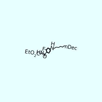 CCCCCCCCCCCCCCCCNc1ccc(C(=O)NCC(=O)OCC)c(F)c1